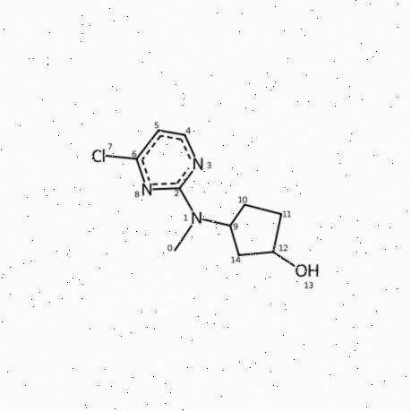 CN(c1nccc(Cl)n1)C1CCC(O)C1